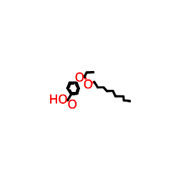 CCCCCCCCCOC(CC)Oc1ccc(C(=O)O)cc1